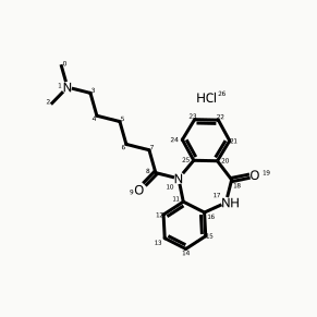 CN(C)CCCCCC(=O)N1c2ccccc2NC(=O)c2ccccc21.Cl